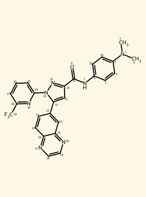 CN(C)c1ccc(NC(=O)c2cc(-c3ccc4nccnc4c3)n(-c3cccc(C(F)(F)F)n3)n2)cc1